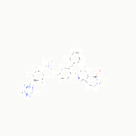 CC(NCc1ccc(-c2nc3cc[nH]c(=O)c3cc2-c2ccccc2)cc1)c1ccc(-n2cncn2)cc1